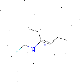 CC/C=C(\CC)NCF